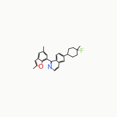 Cc1cc(-c2nccc3cc(C4CCC(C)(F)CC4)ccc23)c2oc(C)cc2c1